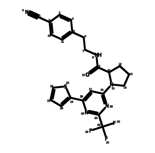 N#Cc1ccc(CCNC(=O)C2CCCN2c2cc(-c3cccs3)nc(C(F)(F)F)n2)cc1